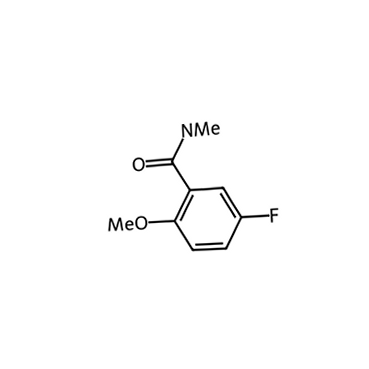 CNC(=O)c1cc(F)ccc1OC